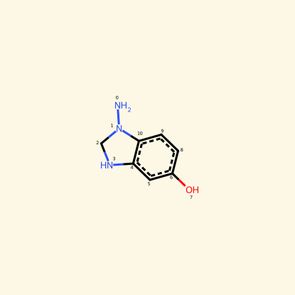 NN1CNc2cc(O)ccc21